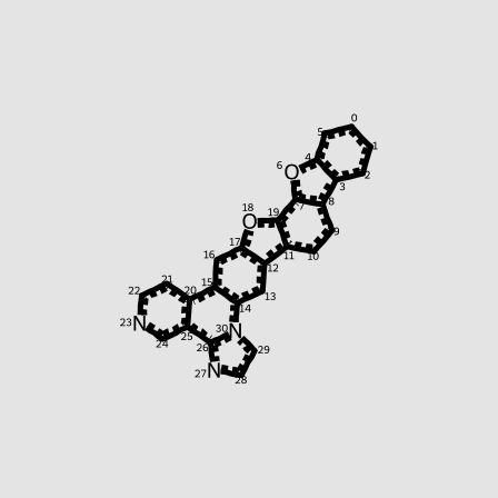 c1ccc2c(c1)oc1c2ccc2c3cc4c(cc3oc21)c1ccncc1c1nccn41